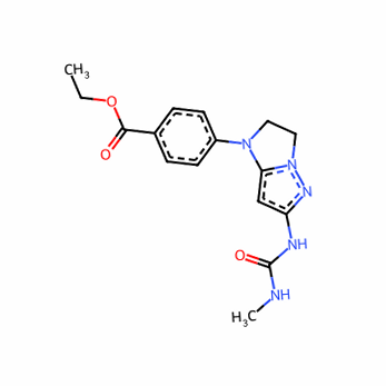 CCOC(=O)c1ccc(N2CCn3nc(NC(=O)NC)cc32)cc1